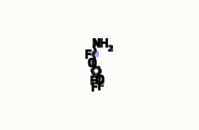 NC/C=C(\F)COc1ccc(OC(F)(F)F)cc1